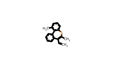 C=CC1=C(C)Sc2cccc(C)c2-c2ccccc21